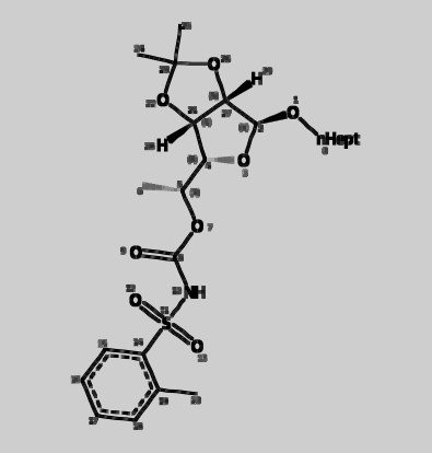 CCCCCCCO[C@H]1O[C@H]([C@@H](C)OC(=O)NS(=O)(=O)c2ccccc2C)[C@@H]2OC(C)(C)O[C@H]12